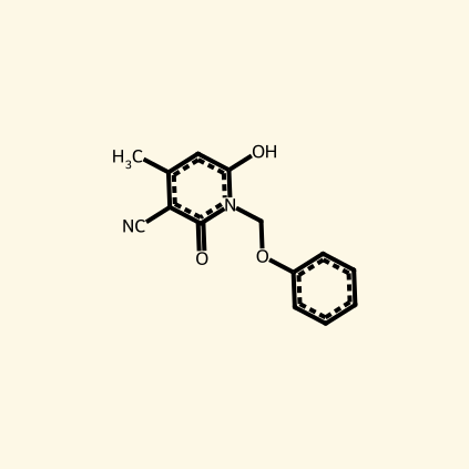 Cc1cc(O)n(COc2ccccc2)c(=O)c1C#N